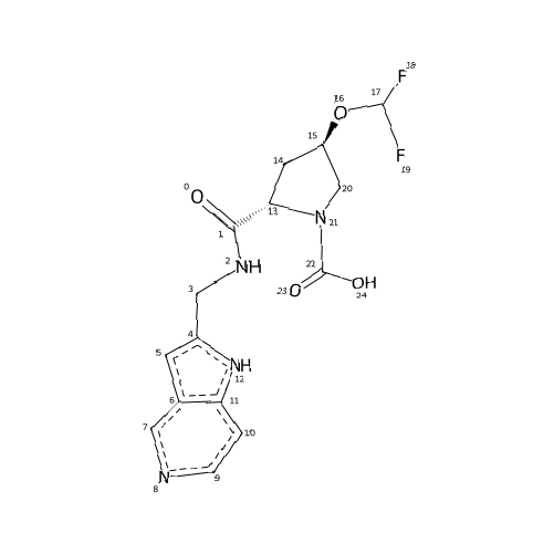 O=C(NCc1cc2cnccc2[nH]1)[C@@H]1C[C@@H](OC(F)F)CN1C(=O)O